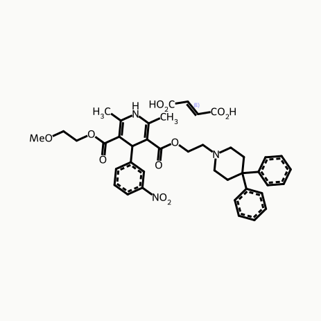 COCCOC(=O)C1=C(C)NC(C)=C(C(=O)OCCN2CCC(c3ccccc3)(c3ccccc3)CC2)C1c1cccc([N+](=O)[O-])c1.O=C(O)/C=C/C(=O)O